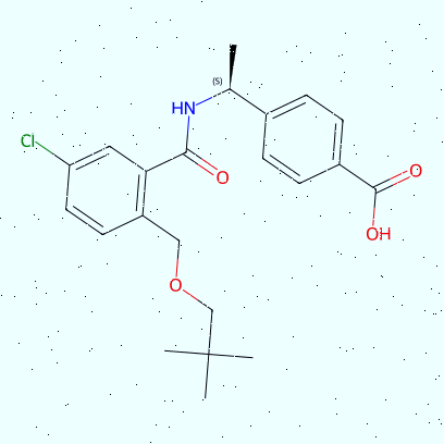 C[C@H](NC(=O)c1cc(Cl)ccc1COCC(C)(C)C)c1ccc(C(=O)O)cc1